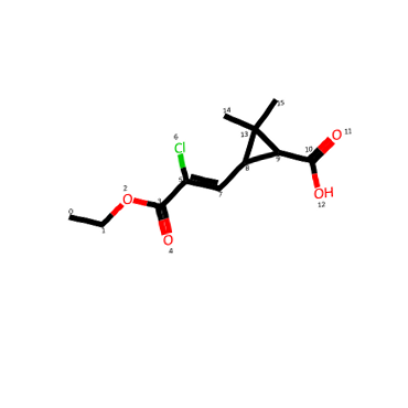 CCOC(=O)C(Cl)=CC1C(C(=O)O)C1(C)C